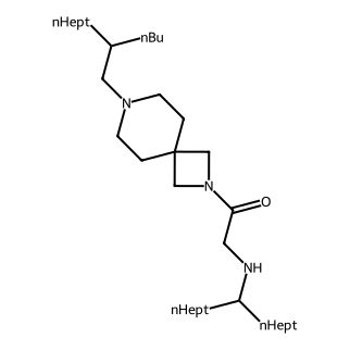 CCCCCCCC(CCCC)CN1CCC2(CC1)CN(C(=O)CNC(CCCCCCC)CCCCCCC)C2